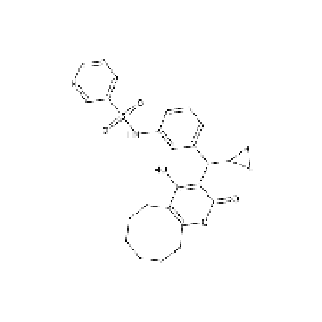 O=c1oc2c(c(O)c1C(c1cccc(NS(=O)(=O)c3cccnc3)c1)C1CC1)CCCCCC2